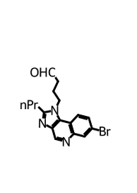 CCCc1nc2cnc3cc(Br)ccc3c2n1CCCC=O